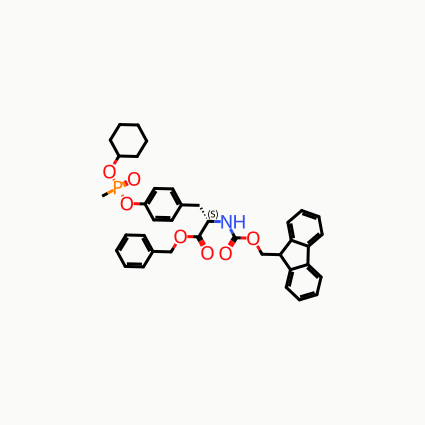 CP(=O)(Oc1ccc(C[C@H](NC(=O)OCC2c3ccccc3-c3ccccc32)C(=O)OCc2ccccc2)cc1)OC1CCCCC1